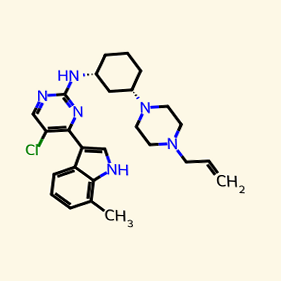 C=CCN1CCN([C@H]2CCC[C@@H](Nc3ncc(Cl)c(-c4c[nH]c5c(C)cccc45)n3)C2)CC1